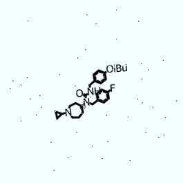 CC(C)COc1ccc(CNC(=O)N(Cc2ccc(F)cc2)[C@@H]2CCCN(C3CC3)CC2)cc1